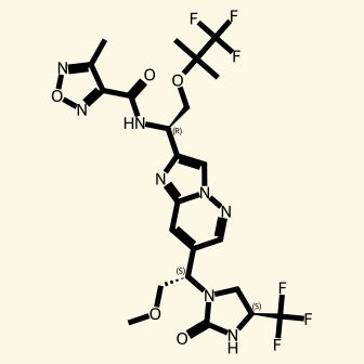 COC[C@H](c1cnn2cc([C@H](COC(C)(C)C(F)(F)F)NC(=O)c3nonc3C)nc2c1)N1C[C@@H](C(F)(F)F)NC1=O